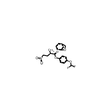 CC(CC[N+](=O)[O-])C(=O)Oc1ccc(OC(F)F)cc1.c1cc2cc(c1)OC2